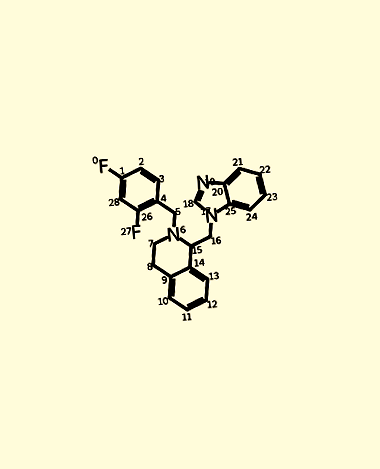 Fc1ccc(CN2CCc3ccccc3C2Cn2cnc3ccccc32)c(F)c1